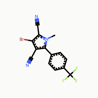 Cn1c(C#N)c(Br)c(C#N)c1-c1ccc(C(F)(F)F)cc1